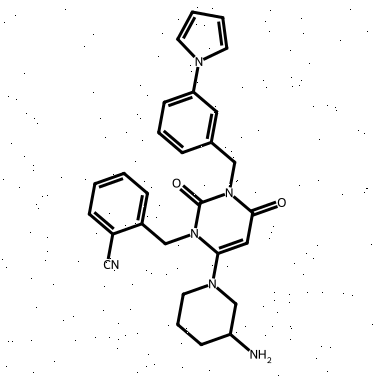 N#Cc1ccccc1Cn1c(N2CCCC(N)C2)cc(=O)n(Cc2cccc(-n3cccc3)c2)c1=O